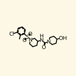 Cc1c(Cl)cccc1S(=O)(=O)N1CCCC(NC(=O)N2CCC(O)CC2)C1